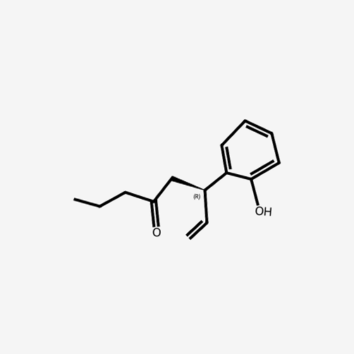 C=C[C@@H](CC(=O)CCC)c1ccccc1O